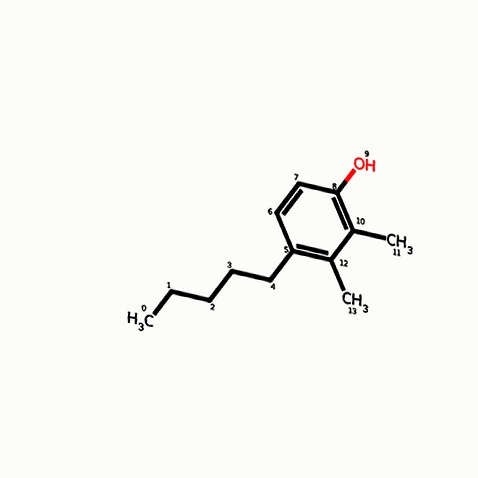 CCCCCc1ccc(O)c(C)c1C